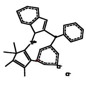 CC1=C(C)C(C)(C)[C]([Ti+2][CH]2C(P(c3ccccc3)c3ccccc3)=Cc3ccccc32)=C1C.[Cl-].[Cl-]